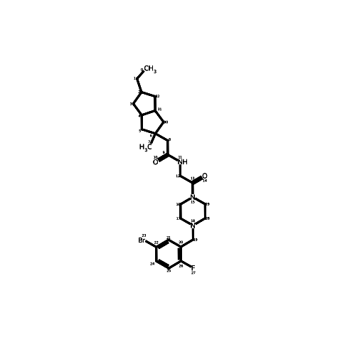 CCC1CC2CC(C)(CC(=O)NCC(=O)N3CCN(Cc4cc(Br)ccc4F)CC3)CC2C1